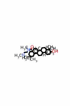 CN(C)CCN(C)C(=O)[C@]12CCC(C)(C)CC1=C1CC[C@@H]3[C@@]4(C)CC[C@H](O)C(C)(C)[C@@H]4CC[C@@]3(C)[C@]1(C)CC2